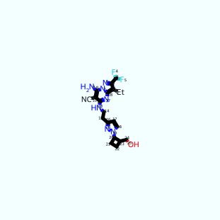 CCc1c(C(F)F)nn2c(N)c(C#N)c(NCCc3ccn(C4CCC4CO)n3)nc12